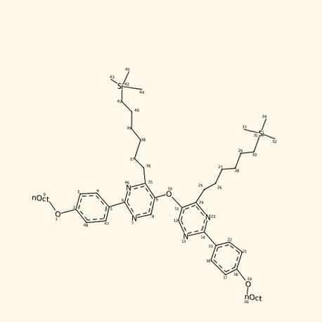 CCCCCCCCOc1ccc(-c2ncc(Oc3cnc(-c4ccc(OCCCCCCCC)cc4)nc3CCCCCC[Si](C)(C)C)c(CCCCCC[Si](C)(C)C)n2)cc1